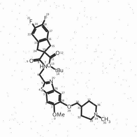 COc1cc2sc(CNC(=O)C3(C(=O)OC(C)(C)C)Cc4cc(F)c(F)cc4C3)nc2cc1OCC1CCN(C)CC1